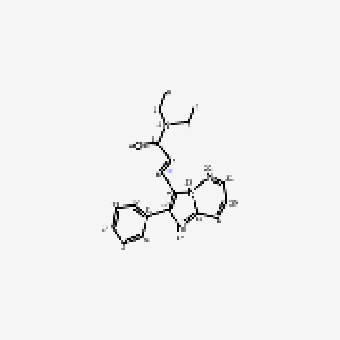 CCN(CC)C(=O)/C=C/c1c(-c2ccccc2)nc2cccnn12